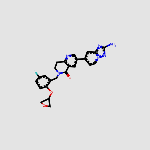 Nc1nc2cc(-c3cnc4c(c3)C(=O)N(Cc3cc(F)ccc3OC3COC3)CC4)ccn2n1